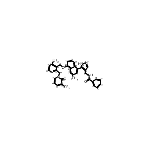 Cc1cc(-c2[nH]ncc2CNC(=O)c2ccccc2)c2cccc(OCc3c(C)ccnc3Cn3cccc(C(F)(F)F)c3=O)c2n1